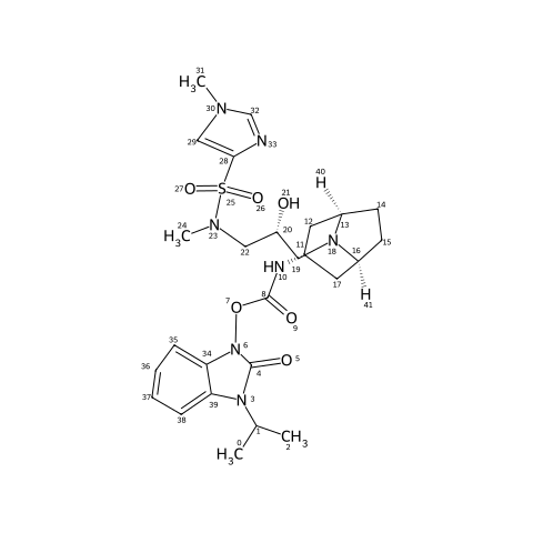 CC(C)n1c(=O)n(OC(=O)N[C@@H]2C[C@H]3CC[C@@H](C2)N3C[C@@H](O)CN(C)S(=O)(=O)c2cn(C)cn2)c2ccccc21